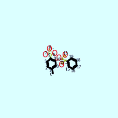 Cc1ccc(S([O])(=O)=O)c(OS(=O)(=O)c2ccccc2)c1